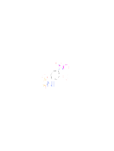 CS(=O)(=O)Nc1ccc([N+](=O)[O-])c(OC2CCCCC2)c1